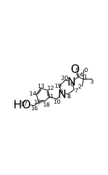 CC(C)(C)C(=O)N1CCN(Cc2cccc(CO)c2)CC1